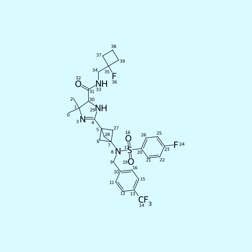 CC1(C)N=C(C23CC(N(Cc4ccc(C(F)(F)F)cc4)S(=O)(=O)c4ccc(F)cc4)(C2)C3)NC1C(=O)NCC1(F)CCC1